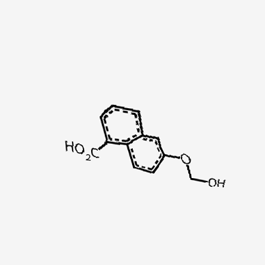 O=C(O)c1cccc2cc(OCO)ccc12